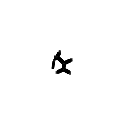 CS[SH](=S)=S(=S)=S(=S)=S